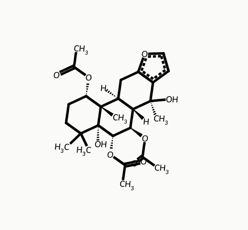 CC(=O)O[C@@H]1[C@@H]2[C@H](Cc3occc3[C@@]2(C)O)[C@@]2(C)[C@@H](OC(C)=O)CCC(C)(C)[C@]2(O)[C@H]1OC(C)=O